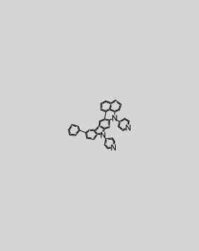 c1ccc(-c2ccc3c(c2)c2cc4c(cc2n3-c2ccncc2)N(c2ccncc2)c2cccc3cccc-4c23)cc1